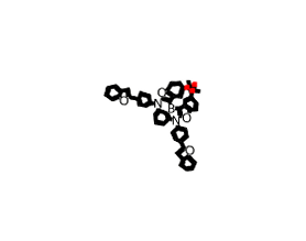 CC(C)(C)c1ccc2oc3c(c2c1)B1c2c(cccc2N(c2ccc(-c4cc5ccccc5o4)cc2)c2oc4ccc(C(C)(C)C)cc4c21)N3c1ccc(-c2cc3ccccc3o2)cc1